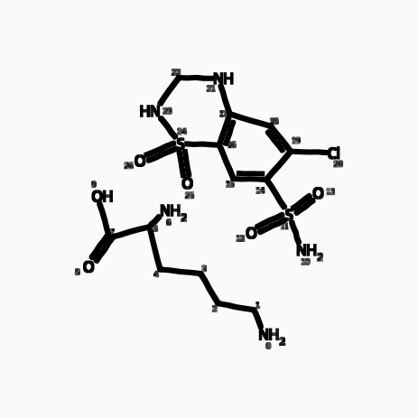 NCCCCC(N)C(=O)O.NS(=O)(=O)c1cc2c(cc1Cl)NCNS2(=O)=O